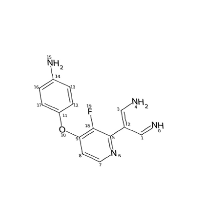 N=C/C(=C\N)c1nccc(Oc2ccc(N)cc2)c1F